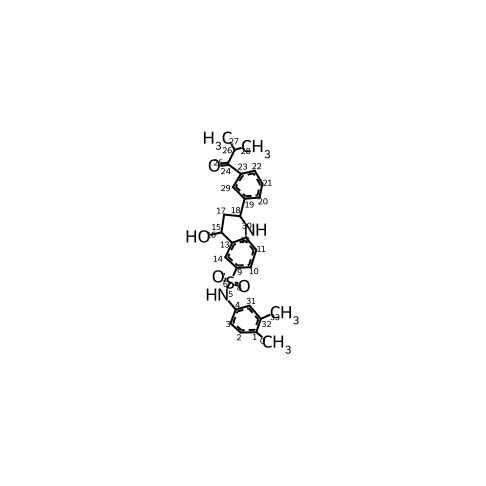 Cc1ccc(NS(=O)(=O)c2ccc3c(c2)C(O)CC(c2cccc(C(=O)C(C)C)c2)N3)cc1C